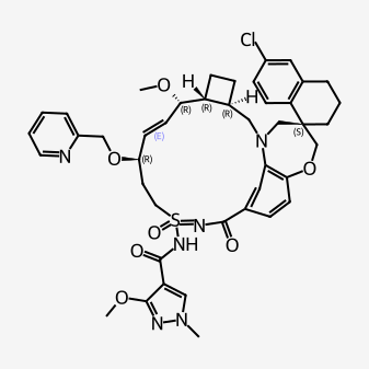 COc1nn(C)cc1C(=O)NS1(=O)=NC(=O)c2ccc3c(c2)N(C[C@@H]2CC[C@H]2[C@@H](OC)/C=C/[C@H](OCc2ccccn2)CC1)C[C@@]1(CCCc2cc(Cl)ccc21)CO3